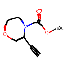 C#CC1COCCN1C(=O)OC(C)(C)C